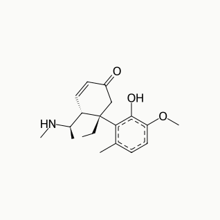 CC[C@]1(c2c(C)ccc(OC)c2O)CC(=O)C=C[C@H]1[C@@H](C)NC